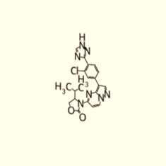 CC(C)C1COC(=O)N1c1ccn2ncc(-c3ccc(-c4nc[nH]n4)c(Cl)c3)c2n1